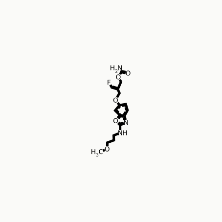 COCCCNc1nc2ccc(OCC(=CF)COC(N)=O)cc2o1